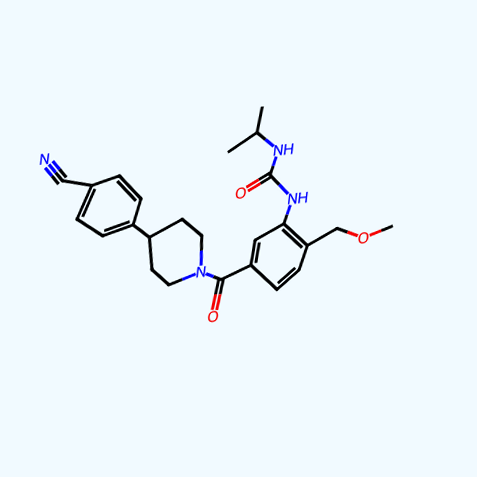 COCc1ccc(C(=O)N2CCC(c3ccc(C#N)cc3)CC2)cc1NC(=O)NC(C)C